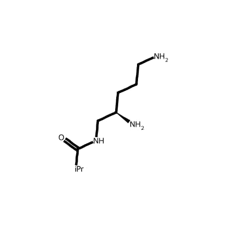 CC(C)C(=O)NC[C@H](N)CCCN